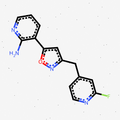 Nc1ncccc1-c1cc(Cc2ccnc(F)c2)no1